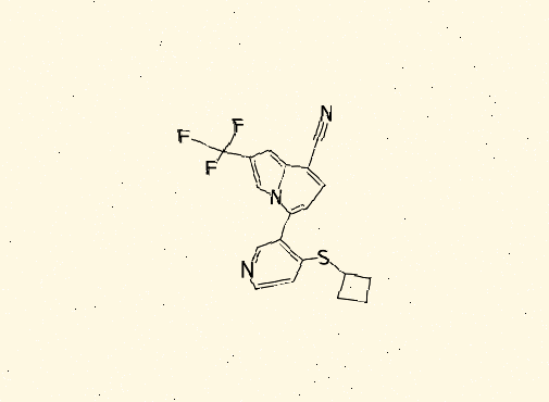 N#Cc1ccc(-c2cnccc2SC2CCC2)n2cc(C(F)(F)F)cc12